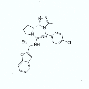 CC[C@H](NC(=N)N1CCC[C@@H]1c1nnc(C)n1Cc1ccc(Cl)cc1)c1cc2ccccc2o1